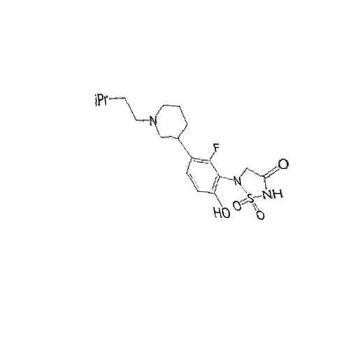 CC(C)CCN1CCCC(c2ccc(O)c(N3CC(=O)NS3(=O)=O)c2F)C1